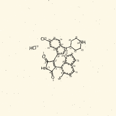 Cl.O=C1NC(=O)C(c2c(F)ccc3ccoc23)=C1c1cn(C2CCNCC2)c2ccc(Cl)cc12